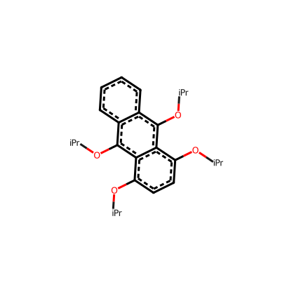 CC(C)Oc1ccc(OC(C)C)c2c(OC(C)C)c3ccccc3c(OC(C)C)c12